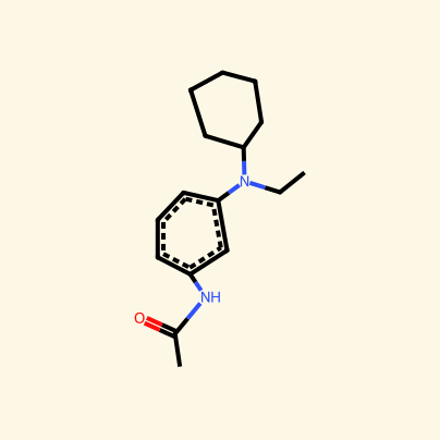 CCN(c1cccc(NC(C)=O)c1)C1CCCCC1